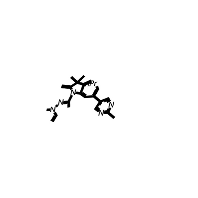 C=CN(C)/N=C(\C)N1C(=C)C(C)(C)C(=C)/C1=C\C(=C/CCC)c1cnc(C)nc1